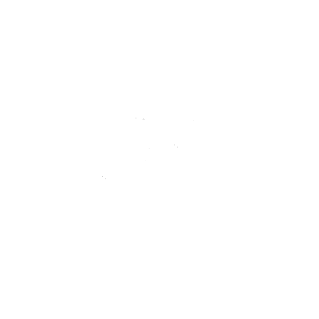 COC1=CC(c2ccc[nH]2)=N/C1=C\NC1CCCC1